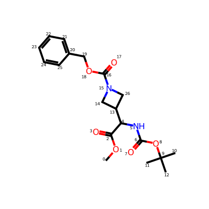 COC(=O)C(NC(=O)OC(C)(C)C)C1CN(C(=O)OCc2ccccc2)C1